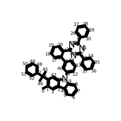 Cc1cc2c3ccccc3n(-c3cccc(-c4ccccc4-c4nc(-c5ccccc5)nc(-c5ccccc5)n4)c3)c2cc1C(C)(C)c1ccccc1